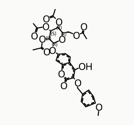 COc1ccc(COc2c(O)c3ccc(O[C@H]4O[C@H](COC(C)=O)[C@@H](OC(C)=O)[C@H](OC(C)=O)[C@@H]4OC(C)=O)cc3oc2=O)cc1